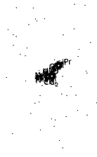 C=C1c2c(Cl)ccc(NS(=O)(=O)c3ccc(C(C)C)cc3)c2C(=O)N1c1cncnc1